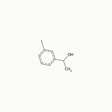 [CH2]C(O)c1cccc(I)c1